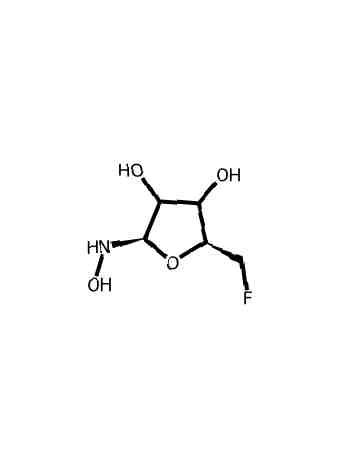 ON[C@@H]1O[C@H](CF)C(O)C1O